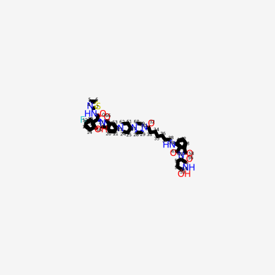 O=C(Nc1nccs1)C(c1cc(F)ccc1O)N1Cc2ccc(N3CCC(N4CCN(C(=O)CCCCCCNc5cccc6c5C(=O)N(C5CCC(O)NC5=O)C6=O)CC4)CC3)cc2C1=O